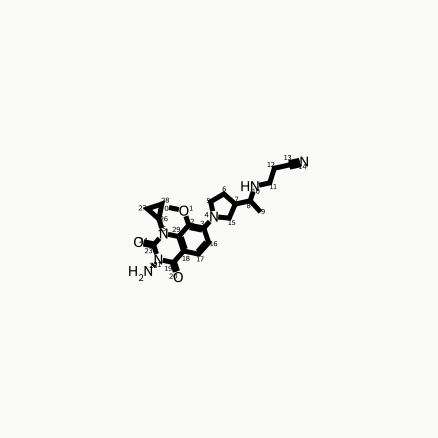 COc1c(N2CCC(C(C)NCCC#N)C2)ccc2c(=O)n(N)c(=O)n(C3CC3)c12